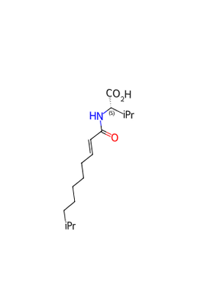 CC(C)CCCCCC=CC(=O)N[C@H](C(=O)O)C(C)C